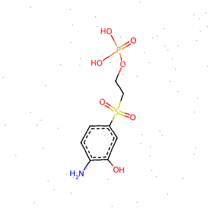 Nc1ccc(S(=O)(=O)CCOP(=O)(O)O)cc1O